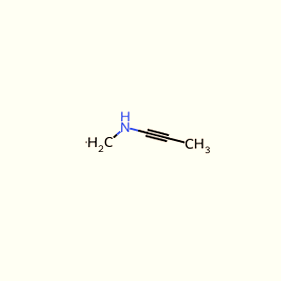 [CH2]NC#CC